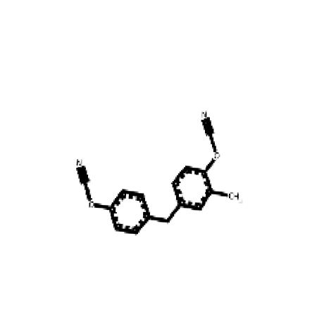 Cc1cc(Cc2ccc(OC#N)cc2)ccc1OC#N